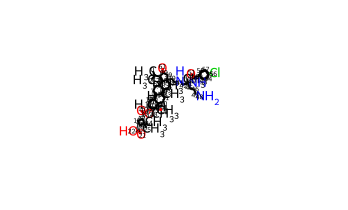 CC(C)C1=C2[C@H]3CC[C@@H]4[C@@]5(C)CC[C@H](OC(=O)[C@H]6C[C@@H](C(=O)O)C6(C)C)C(C)(C)[C@@H]5CC[C@@]4(C)[C@]3(C)CC[C@@]2(CCNCC(C)(CCCN)NC(=O)c2ccc(Cl)cc2)CC1=O